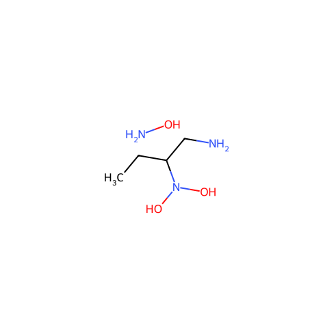 CCC(CN)N(O)O.NO